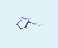 O=C(O)C1=CCCNN1